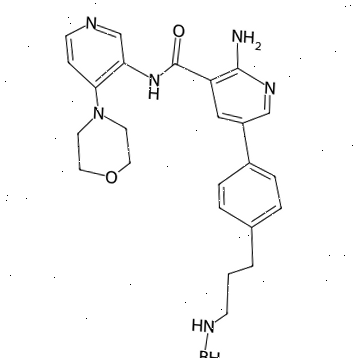 BNCCCc1ccc(-c2cnc(N)c(C(=O)Nc3cnccc3N3CCOCC3)c2)cc1